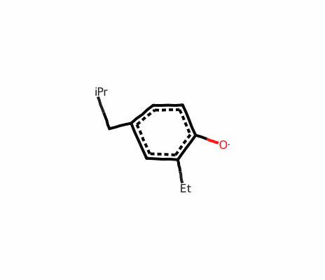 CCc1cc(CC(C)C)ccc1[O]